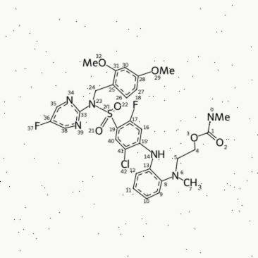 CNC(=O)OCCN(C)c1ccccc1Nc1cc(F)c(S(=O)(=O)N(Cc2ccc(OC)cc2OC)c2ncc(F)cn2)cc1Cl